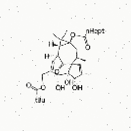 CCCCCCCC(=O)O[C@@]12C[C@@H](C)[C@]34C=C(C)[C@H](O)[C@@]3(O)[C@H](O)C(COC(=O)C(C)(C)C)=C[C@H](C4=O)[C@@H]1C2(C)C